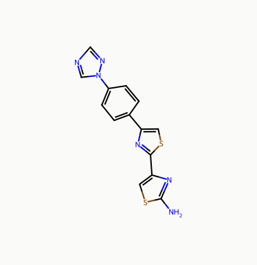 Nc1nc(-c2nc(-c3ccc(-n4cncn4)cc3)cs2)cs1